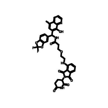 Cc1cc(C(NC(=O)CCOCCNc2cccc3c2C(=O)N(C2CCC(=O)NC2=O)C3=O)c2ccc3c(c2)OC(F)(F)O3)c(O)c2ncccc12